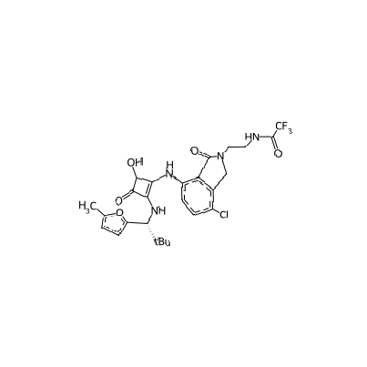 Cc1ccc([C@H](NC2=C(Nc3ccc(Cl)c4c3C(=O)N(CCNC(=O)C(F)(F)F)C4)C(O)C2=O)C(C)(C)C)o1